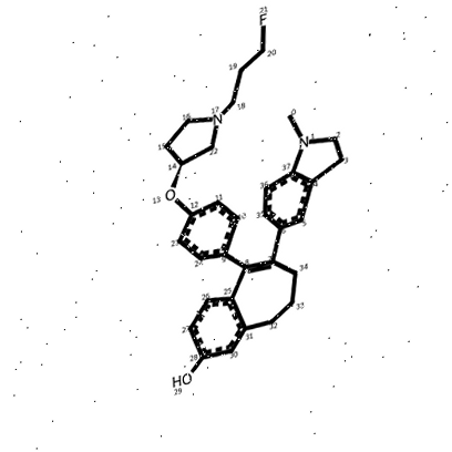 CN1CCc2cc(C3=C(c4ccc(O[C@H]5CCN(CCCF)C5)cc4)c4ccc(O)cc4CCC3)ccc21